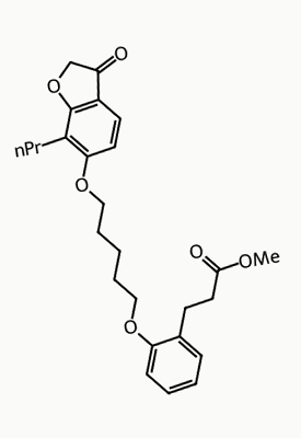 CCCc1c(OCCCCCOc2ccccc2CCC(=O)OC)ccc2c1OCC2=O